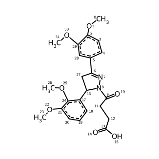 COc1ccc(C2=NN(C(=O)CCC(=O)O)C(c3cccc(OC)c3OC)C2)cc1OC